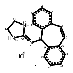 C1=Cc2ccccc2C(N=C2NCCN2)c2ccccc21.Cl